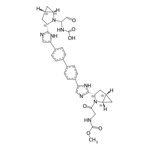 COC(=O)NCC(=O)N1[C@H](c2ncc(-c3ccc(-c4ccc(-c5cnc([C@@H]6C[C@@H]7C[C@@H]7N6C(C=O)NC(=O)O)[nH]5)cc4)cc3)[nH]2)C[C@@H]2C[C@@H]21